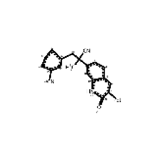 CCc1cc2ccc(C(C)(C#N)Cc3cccc(C#N)c3)cc2[nH]c1=O